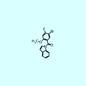 COc1cc(F)c(Br)cc1C(=O)n1ccc2ccccc21